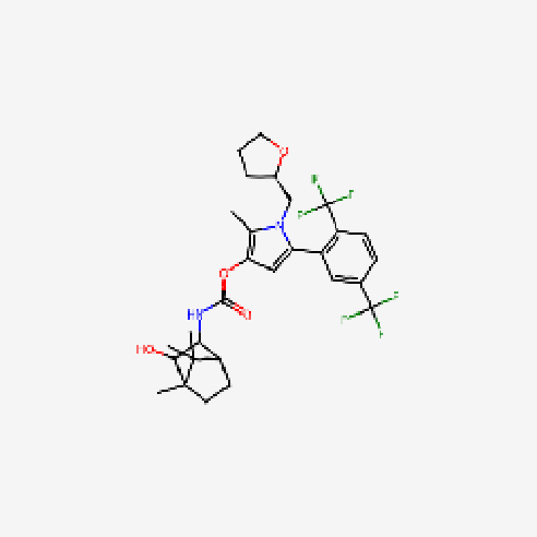 Cc1c(OC(=O)NC2C3CCC(C)(C2O)C3(C)C)cc(-c2cc(C(F)(F)F)ccc2C(F)(F)F)n1C[C@H]1CCCO1